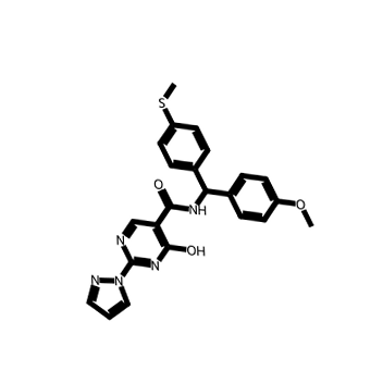 COc1ccc(C(NC(=O)c2cnc(-n3cccn3)nc2O)c2ccc(SC)cc2)cc1